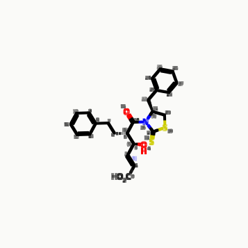 O=C(O)/C=C/[C@H](O)[C@H](CCc1ccccc1)C(=O)N1C(=S)SC[C@@H]1Cc1ccccc1